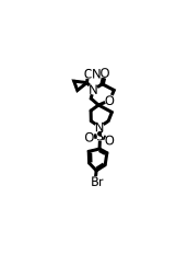 N#CC1(N2CC3(CCN(S(=O)(=O)c4ccc(Br)cc4)CC3)OCC2=O)CC1